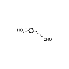 O=CCCCCCc1ccc(C(=O)O)cc1